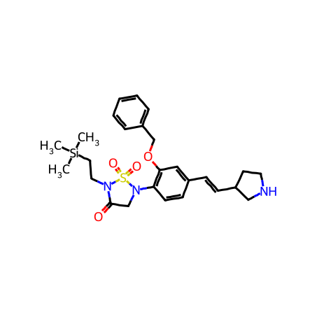 C[Si](C)(C)CCN1C(=O)CN(c2ccc(/C=C/C3CCNC3)cc2OCc2ccccc2)S1(=O)=O